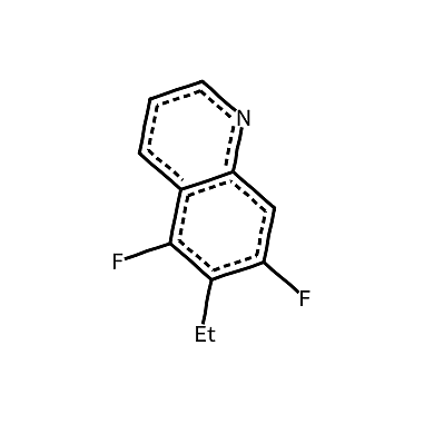 CCc1c(F)cc2ncccc2c1F